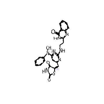 CN(c1ccccc1)c1cc(/C=C2/SC(=O)NC2=O)nc(NCCc2nc3ccccc3c(=O)[nH]2)n1